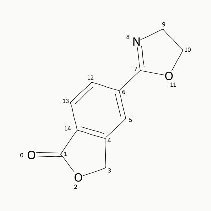 O=C1OCc2cc(C3=NCCO3)ccc21